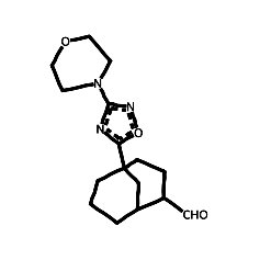 O=CC1CCC2(c3nc(N4CCOCC4)no3)CCCC1C2